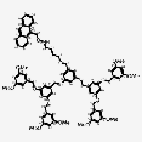 COc1cc(COc2cc(COc3cc(COCCCCNOCc4c5ccccc5cc5ccccc45)cc(OCc4cc(OCc5cc(OC)cc(OC)c5)cc(OCc5cc(OC)cc(OC)c5)c4)c3)cc(OCc3cc(OC)cc(OC)c3)c2)cc(OC)c1